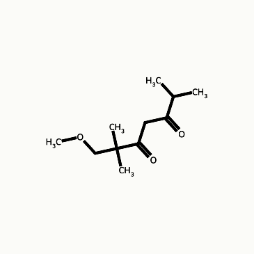 COCC(C)(C)C(=O)CC(=O)C(C)C